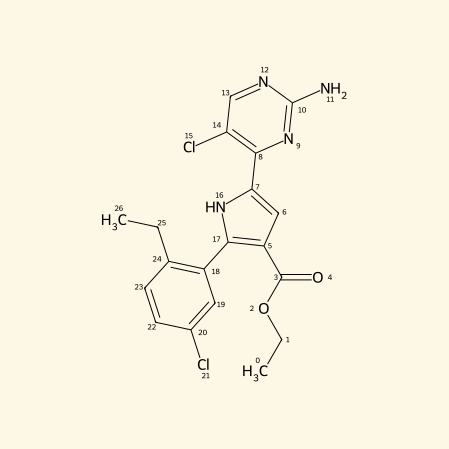 CCOC(=O)c1cc(-c2nc(N)ncc2Cl)[nH]c1-c1cc(Cl)ccc1CC